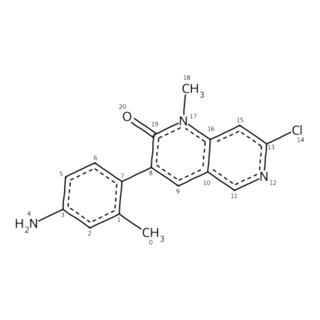 Cc1cc(N)ccc1-c1cc2cnc(Cl)cc2n(C)c1=O